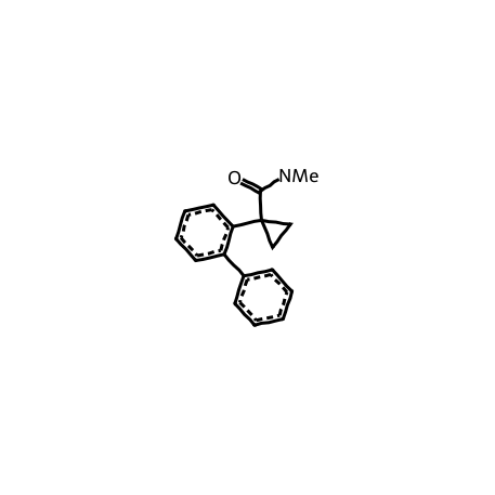 CNC(=O)C1(c2ccccc2-c2ccccc2)CC1